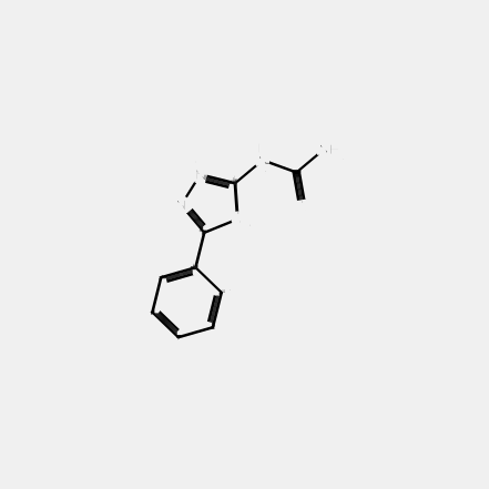 NC(=S)Nc1nnc(-c2ccccc2)s1